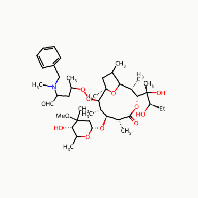 CC[C@@H](O)[C@@](C)(O)[C@@H]1OC(=O)[C@H](C)[C@@H](O[C@H]2CC(C)(OC)[C@@H](O)C(C)O2)[C@H](C)[C@@H](OOC(C)CC(C=O)N(C)Cc2ccccc2)[C@@]2(C)CC(C)C(O2)[C@@H]1C